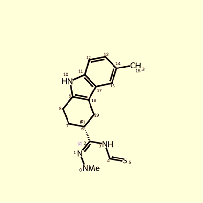 CN/N=C(\NC=S)[C@@H]1CCc2[nH]c3ccc(C)cc3c2C1